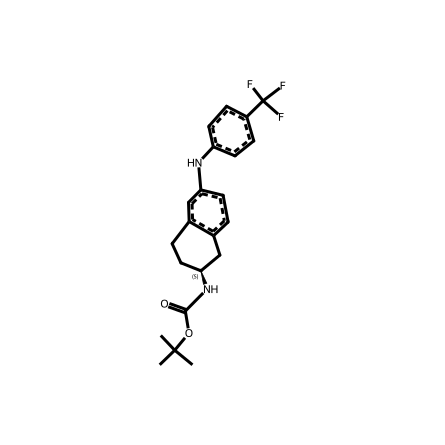 CC(C)(C)OC(=O)N[C@H]1CCc2cc(Nc3ccc(C(F)(F)F)cc3)ccc2C1